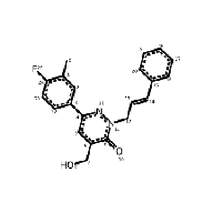 Cc1cc(-c2cc(CO)c(=O)n(CC=Cc3ccccc3)n2)ccc1F